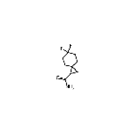 NC(=O)C1CC12CCC(F)(F)CC2